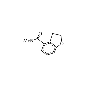 CNC(=O)c1cccc2c1CCO2